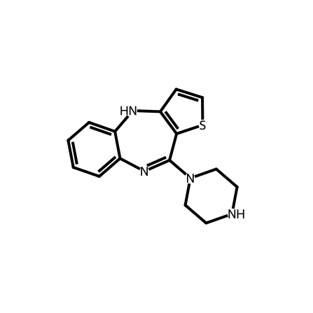 c1ccc2c(c1)N=C(N1CCNCC1)c1sccc1N2